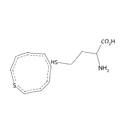 NC(CCS)C(=O)O.c1ccccsccc1